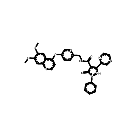 COc1cc2nccc(Oc3ccc(CNC(=O)c4c(-c5cnccn5)[nH]n(-c5ccccc5)c4=O)nc3)c2cc1OC